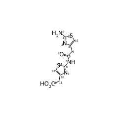 Nc1nc(CC(=O)Nc2nc(CC(=O)O)cs2)cs1